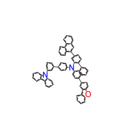 c1ccc(-c2ccc(-c3cc4ccccc4c4ccccc34)cc2N(c2ccc(-c3cccc(-n4c5ccccc5c5ccccc54)c3)cc2)c2ccc(-c3ccc4oc5ccccc5c4c3)cc2)cc1